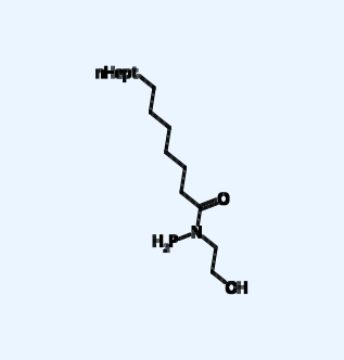 CCCCCCCCCCCCCC(=O)N(P)CCO